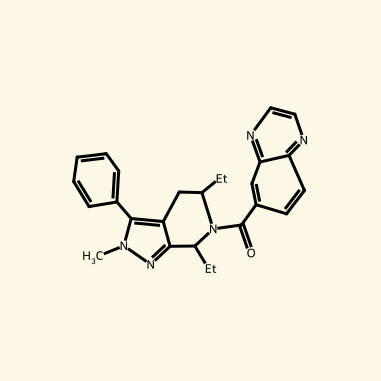 CCC1Cc2c(nn(C)c2-c2ccccc2)C(CC)N1C(=O)c1ccc2nccnc2c1